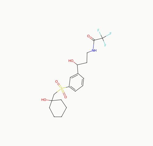 O=C(NCCC(O)c1cccc(S(=O)(=O)CC2(O)CCCCC2)c1)C(F)(F)F